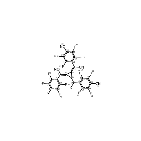 Cc1c(F)c(F)c(/C(C#N)=C2/C(=C(/C#N)c3c(F)c(F)c(C#N)c(F)c3F)C2C(C)c2c(F)c(F)c(C#N)c(F)c2F)c(F)c1F